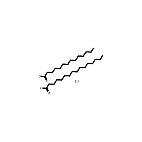 CCCCCCCCCCCCCC(=O)[O-].CCCCCCCCCCCCCCCC(=O)[O-].[Zn+2]